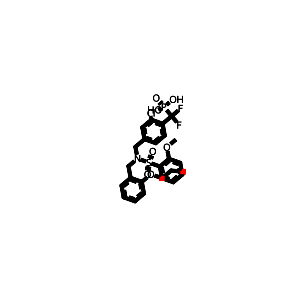 CCCOc1ccccc1CN(Cc1ccc(C(F)(F)P(=O)(O)O)c(Cl)c1)S(=O)(=O)c1ccccc1OC